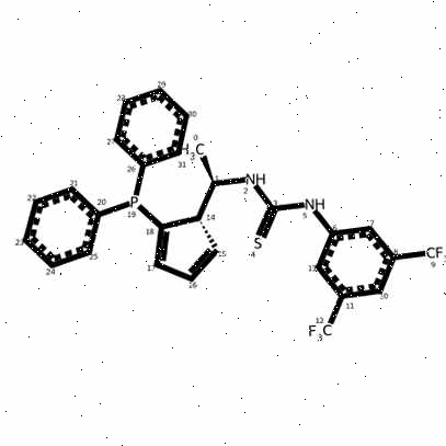 C[C@@H](NC(=S)Nc1cc(C(F)(F)F)cc(C(F)(F)F)c1)[C@@H]1C=CC=C1P(c1ccccc1)c1ccccc1